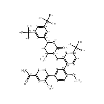 COc1ccc(-c2ccc(C(C)=O)cc2C)cc1-c1ccc(C(F)(F)F)cc1CN1C(=O)O[C@H](c2cc(C(F)(F)F)cc(C(F)(F)F)c2)C[C@@H]1C